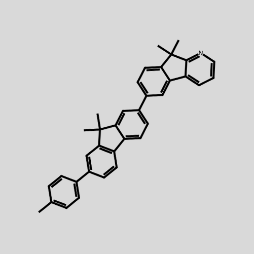 Cc1ccc(-c2ccc3c(c2)C(C)(C)c2cc(-c4ccc5c(c4)-c4cccnc4C5(C)C)ccc2-3)cc1